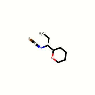 CC[C@H](N=C=S)C1CCCCO1